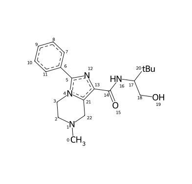 CN1CCn2c(-c3ccccc3)nc(C(=O)NC(CO)C(C)(C)C)c2C1